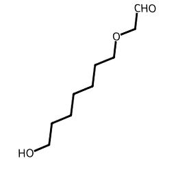 O=CCOCCCCCCCO